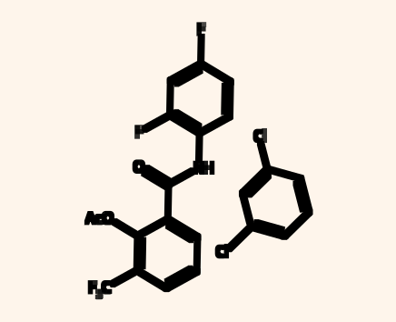 CC(=O)Oc1c(C(=O)Nc2ccc(F)cc2F)cccc1C(F)(F)F.Clc1cccc(Cl)c1